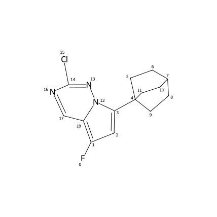 Fc1cc(C23CCC(CC2)CC3)n2nc(Cl)ncc12